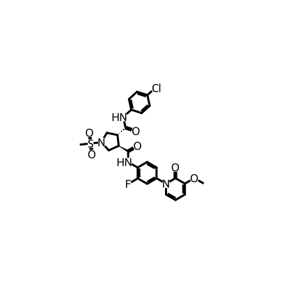 COc1cccn(-c2ccc(NC(=O)[C@H]3CN(S(C)(=O)=O)C[C@@H]3C(=O)Nc3ccc(Cl)cc3)c(F)c2)c1=O